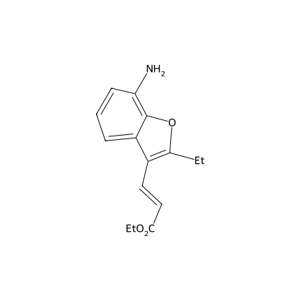 CCOC(=O)C=Cc1c(CC)oc2c(N)cccc12